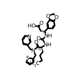 CCCC[C@H](NC(=O)N[C@@H](CC(=O)O)c1ccc2c(c1)OCO2)C(=O)N(Cc1cccnc1)Cc1cccs1